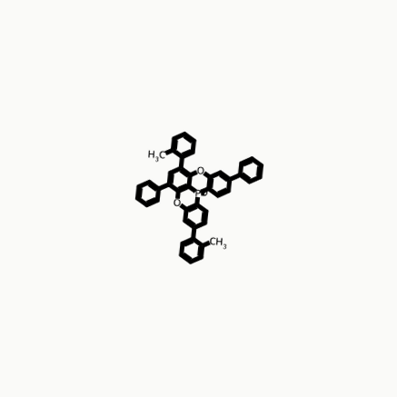 Cc1ccccc1-c1ccc2c(c1)Oc1c(-c3ccccc3)cc(-c3ccccc3C)c3c1P2(=O)c1ccc(-c2ccccc2)cc1O3